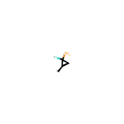 CC1CC1(F)P